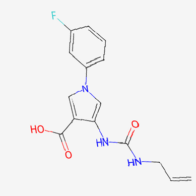 C=CCNC(=O)Nc1cn(-c2cccc(F)c2)cc1C(=O)O